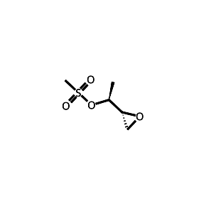 C[C@H](OS(C)(=O)=O)[C@H]1CO1